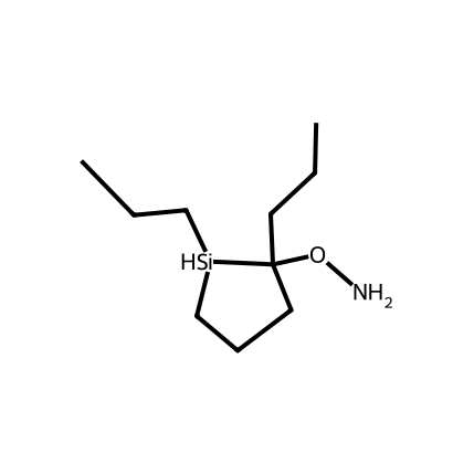 CCC[SiH]1CCCC1(CCC)ON